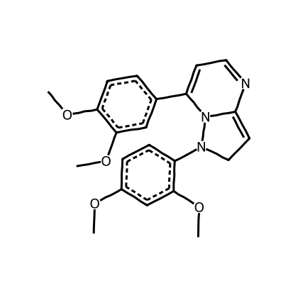 COc1ccc(N2CC=C3N=CC=C(c4ccc(OC)c(OC)c4)N32)c(OC)c1